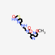 COc1ccc2nccc(C3CN(CCCNCc4ccc5c(n4)NC(=O)CS5)C(=O)O3)c2n1